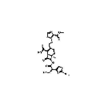 COC(=O)c1ncsc1SCC1=C(C(=O)O)N2C(=O)C(NC(=O)/C(=N\O)c3csc(N)n3)[C@@H]2SC1